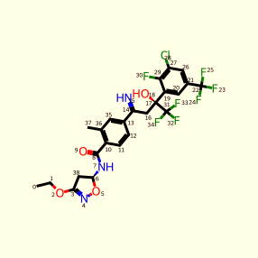 CCOC1=NO[C@H](NC(=O)c2ccc(C(=N)C[C@](O)(c3cc(C(F)(F)F)cc(Cl)c3F)C(F)(F)F)cc2C)C1